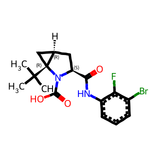 CC(C)(C)[C@@]12C[C@H]1C[C@@H](C(=O)Nc1cccc(Br)c1F)N2C(=O)O